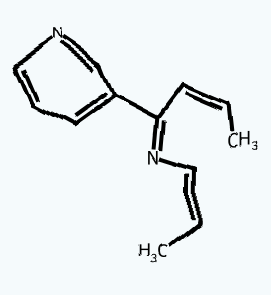 C\C=C/N=C(\C=C/C)c1cccnc1